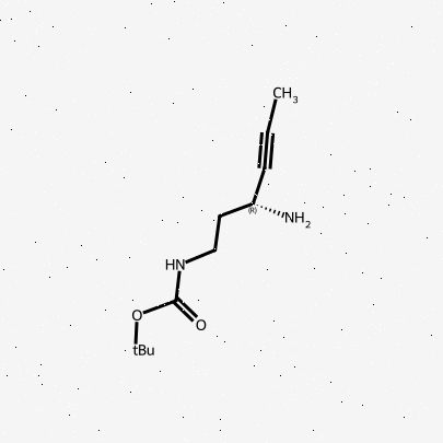 CC#C[C@H](N)CCNC(=O)OC(C)(C)C